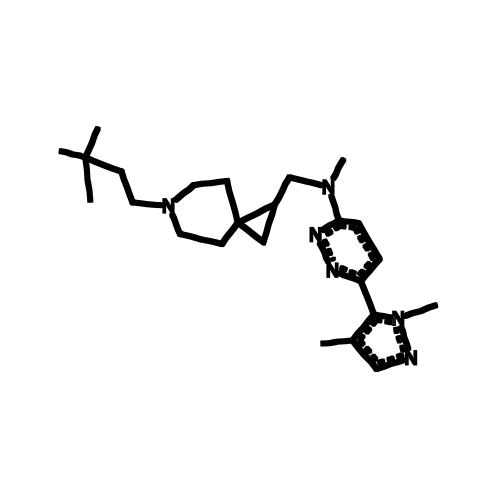 Cc1cnn(C)c1-c1ccc(N(C)CC2CC23CCN(CCC(C)(C)C)CC3)nn1